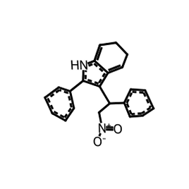 O=[N+]([O-])CC(c1ccccc1)c1c(-c2ccccc2)[nH]c2c1=CCCC=2